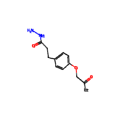 CCC(=O)COc1ccc(CCC(=O)NN)cc1